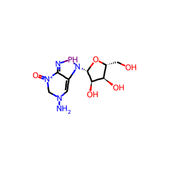 NN1C=C2C(=NPN2[C@@H]2O[C@H](CO)[C@@H](O)[C@H]2O)[N+](=O)C1